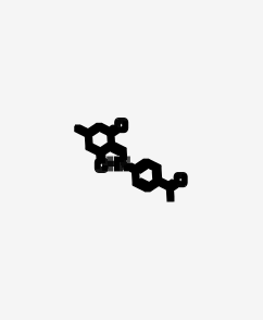 CC(=O)c1ccc(NC=C2C(=O)CC(C)CC2=O)cc1